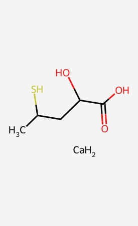 CC(S)CC(O)C(=O)O.[CaH2]